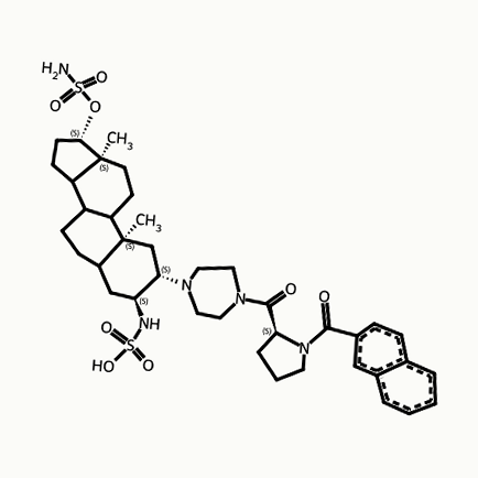 C[C@]12C[C@H](N3CCN(C(=O)[C@@H]4CCCN4C(=O)c4ccc5ccccc5c4)CC3)[C@@H](NS(=O)(=O)O)CC1CCC1C2CC[C@@]2(C)C1CC[C@@H]2OS(N)(=O)=O